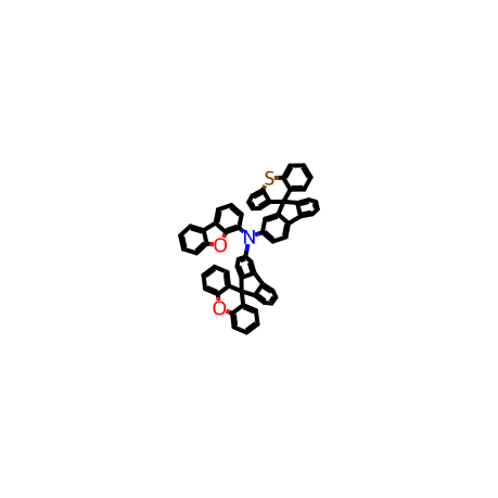 c1ccc2c(c1)Oc1ccccc1C21c2ccccc2-c2cc(N(c3ccc4c(c3)C3(c5ccccc5Sc5ccccc53)c3ccccc3-4)c3cccc4c3oc3ccccc34)ccc21